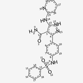 NC(=O)c1c(-c2ccc(NS(=O)(=O)c3ccccc3)cc2)n[nH]c1Nc1ccccn1